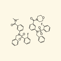 CN(C)C(=O)c1cccc(N(Cc2ccccc2)S(=O)(=O)c2ccccc2F)c1.O=C(c1cccc(N(Cc2ccccc2)S(=O)(=O)c2ccccc2F)c1)N1CCOCC1